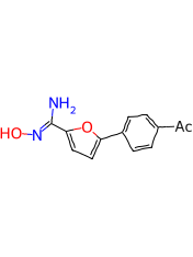 CC(=O)c1ccc(-c2ccc(C(N)=NO)o2)cc1